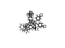 CCOc1cc(C)c(S(=O)(=O)N2CCCCC2)cc1C1(C(=O)N2CCN(S(=O)(=O)CC)CC2)N[C@H](c2ccc(Cl)cc2)[C@H](c2ccc(Cl)cc2)N1